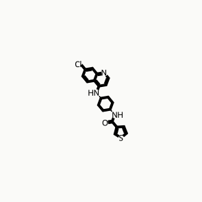 O=C(N[C@H]1CC[C@@H](Nc2ccnc3cc(Cl)ccc23)CC1)c1ccsc1